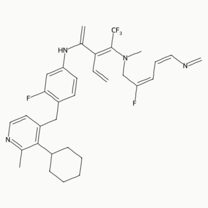 C=C/C(C(=C)Nc1ccc(Cc2ccnc(C)c2C2CCCCC2)c(F)c1)=C(\N(C)C/C(F)=C\C=C/N=C)C(F)(F)F